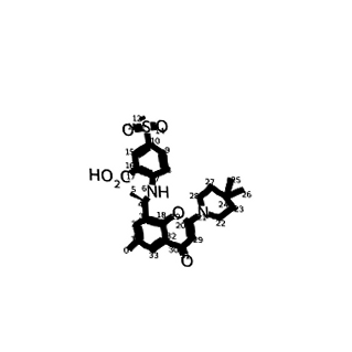 Cc1cc([C@@H](C)Nc2ccc(S(C)(=O)=O)cc2C(=O)O)c2oc(N3CCC(C)(C)CC3)cc(=O)c2c1